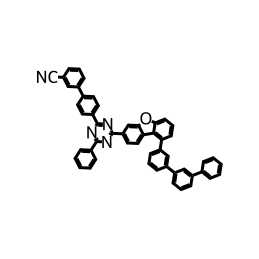 N#Cc1cccc(-c2ccc(-c3nc(-c4ccccc4)nc(-c4ccc5c(c4)oc4cccc(-c6cccc(-c7cccc(-c8ccccc8)c7)c6)c45)n3)cc2)c1